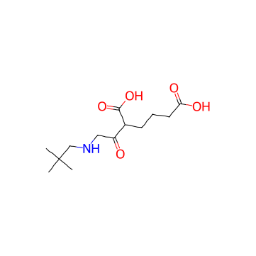 CC(C)(C)CNCC(=O)C(CCCC(=O)O)C(=O)O